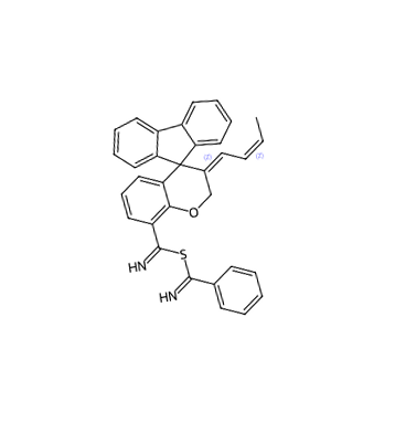 C/C=C\C=C1/COc2c(C(=N)SC(=N)c3ccccc3)cccc2C12c1ccccc1-c1ccccc12